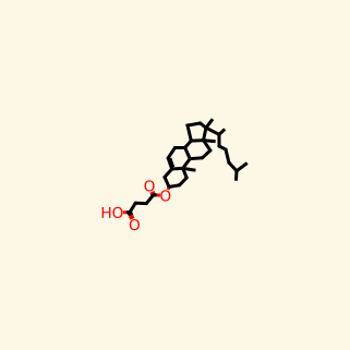 CC(C)CCCC(C)C1(C)CCC2C3CC=C4CC(OC(=O)CCC(=O)O)CCC4(C)C3CCC21C